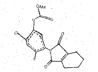 COC(=O)Oc1cc(N2C(=O)C3=C(CCCC3)C2=O)c(F)cc1Cl